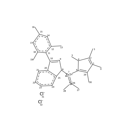 CC1=C(C)C(C)[C]([Zr+2]([CH]2C=C(c3c(C)cc(C)cc3C)c3ccccc32)=[Si](C)C)=C1C.[Cl-].[Cl-]